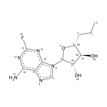 C[CH]C[C@H]1OC(n2cnc3c(N)nc(F)nc32)[C@@H](O)[C@@H]1O